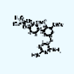 COc1cc(Cc2cnc(N)nc2N)cc(-c2ccc(O[Si](C)(C)C(C)(C)C)cc2)c1OC